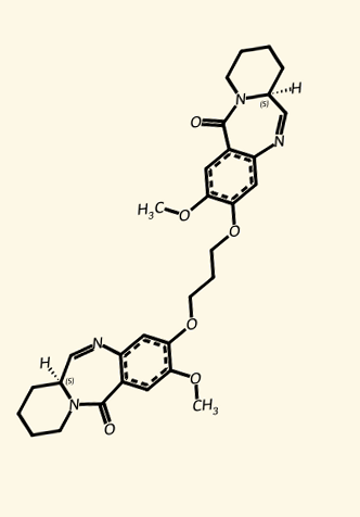 COc1cc2c(cc1OCCCOc1cc3c(cc1OC)C(=O)N1CCCC[C@H]1C=N3)N=C[C@@H]1CCCCN1C2=O